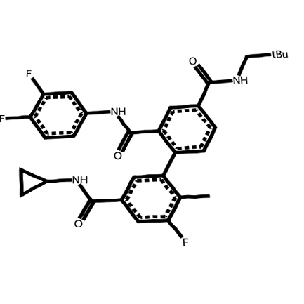 Cc1c(F)cc(C(=O)NC2CC2)cc1-c1ccc(C(=O)NCC(C)(C)C)cc1C(=O)Nc1ccc(F)c(F)c1